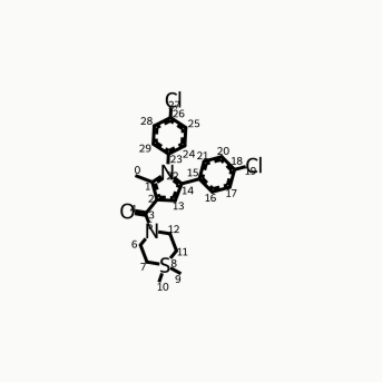 Cc1c(C(=O)N2CCS(C)(C)CC2)cc(-c2ccc(Cl)cc2)n1-c1ccc(Cl)cc1